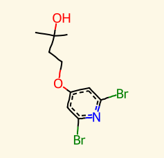 CC(C)(O)CCOc1cc(Br)nc(Br)c1